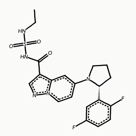 CCNS(=O)(=O)NC(=O)c1cnn2ccc(N3CCC[C@@H]3c3cc(F)ccc3F)cc12